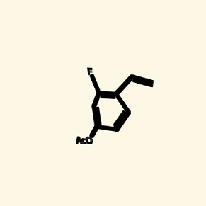 C=Cc1ccc(OC(C)=O)cc1F